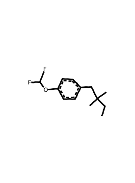 CCC(C)(C)Cc1ccc(OC(F)F)cc1